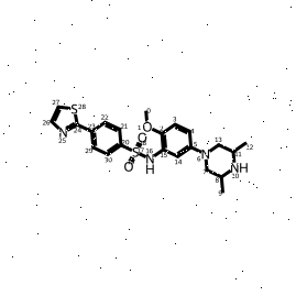 COc1ccc(N2CC(C)NC(C)C2)cc1NS(=O)(=O)c1ccc(-c2nccs2)cc1